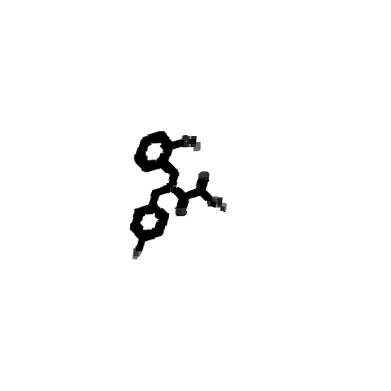 Cc1ccccc1CN(Cc1ccc(F)cc1)C(=O)C(N)=O